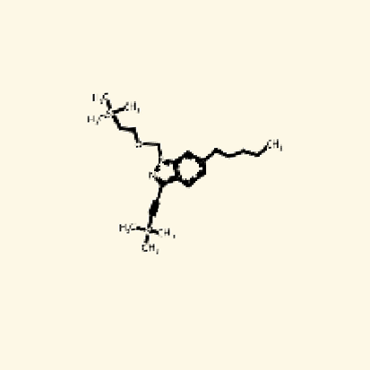 CCCCCc1ccc2c(C#C[Si](C)(C)C)nn(COCC[Si](C)(C)C)c2c1